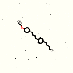 CCCCCc1ccc(C=CC=C[C@H]2CC[C@H](OCCC)CC2)cc1